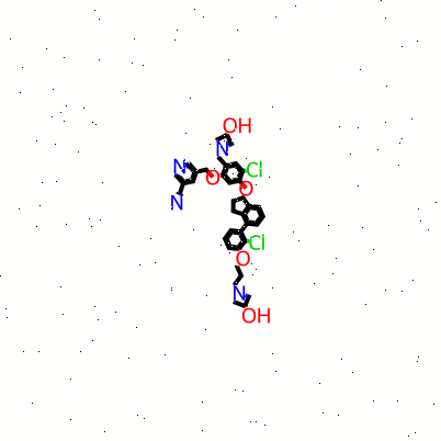 N#Cc1cncc(COc2cc(O[C@H]3CCc4c(-c5cccc(OCCCN6CC(O)C6)c5Cl)cccc43)c(Cl)cc2CN2CC(O)C2)c1